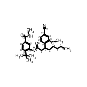 CCCCCC(CC(=O)Nc1cc(C(=O)NC)ccc1C(C)(C)C)c1ccc(C#N)cc1OC